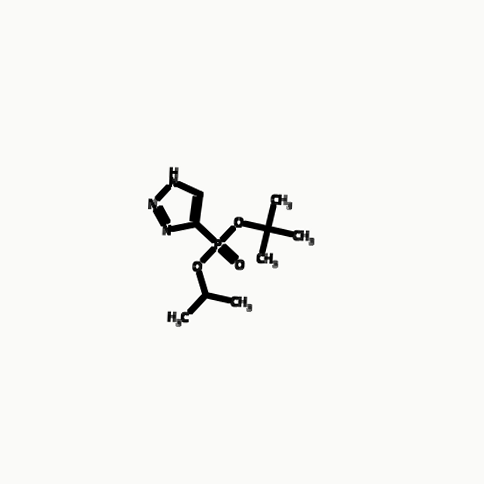 CC(C)OP(=O)(OC(C)(C)C)c1c[nH]nn1